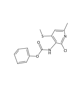 CSc1cc(C)nc(Cl)c1NC(=O)Oc1ccccc1